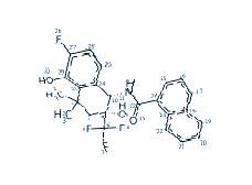 CC1(C)C[C@](O)(C(F)(F)F)[C@@H](NC(=O)c2cccc3ccccc23)c2ccc(F)c(O)c21